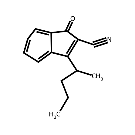 CCCC(C)C1=C(C#N)C(=O)c2ccccc21